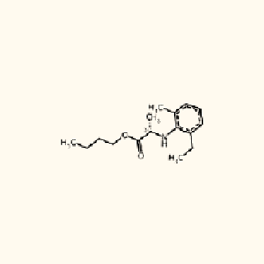 CCCCOC(=O)[C@H](C)Nc1c(C)cccc1CC